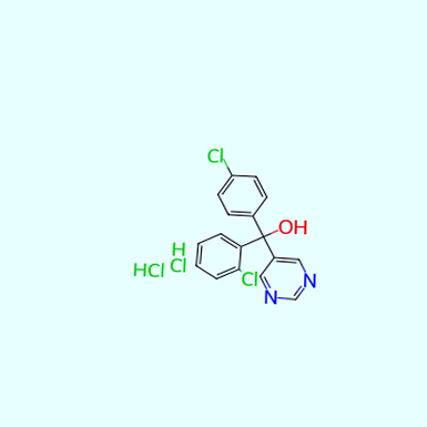 Cl.Cl.OC(c1ccc(Cl)cc1)(c1cncnc1)c1ccccc1Cl